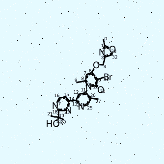 Cc1nc(COc2cc(C)n(-c3cc(-c4ccnc(C(C)(C)O)n4)ncc3C)c(=O)c2Br)co1